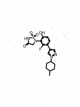 CC1CCC(n2cc(-c3ccc(O)c(N4CC(=O)NS4(=O)=O)c3F)cn2)CC1